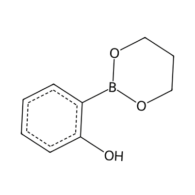 Oc1ccccc1B1OCCCO1